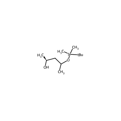 CC(C[C@H](C)O)O[Si](C)(C)C(C)(C)C